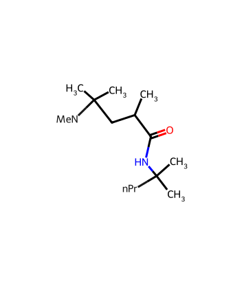 CCCC(C)(C)NC(=O)C(C)CC(C)(C)NC